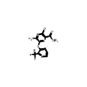 NC(=O)c1nc(Sc2cccnc2C(F)(F)F)c(N)nc1Cl